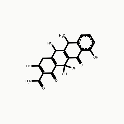 CC1C2=C(C(=O)c3c(O)cccc31)C(O)(O)C1=C(CC(O)=C(C(N)=O)C1=O)C2O